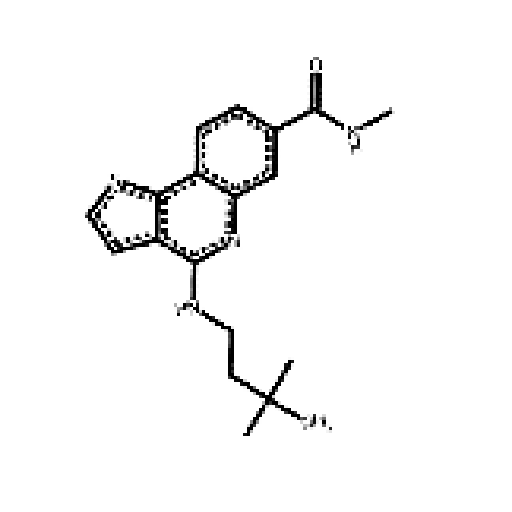 CNC(=O)c1ccc2c(c1)nc(NCCC(C)(C)N)c1ccsc12